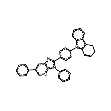 C1=Cc2c(c3ccccc3n2-c2ccc(-c3nc4cc(-c5ccccc5)cnc4n3-c3ccccc3)cc2)CC1